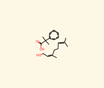 CC(C)(C(=O)O)c1ccccc1.CC(C)=CCC/C(C)=C\CO